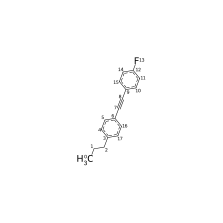 CCCc1ccc(C#Cc2ccc(F)cc2)cc1